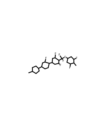 CC1CCC(C2CCC(C3CC(F)C(C(F)(F)OC4CC(F)C(C)C(F)C4)C(F)C3)C(F)C2)CC1